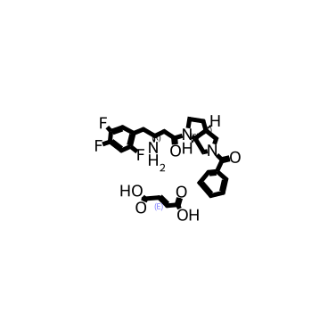 N[C@@H](CC(=O)N1CC[C@H]2CN(C(=O)c3ccccc3)C[C@H]21)Cc1cc(F)c(F)cc1F.O=C(O)/C=C/C(=O)O